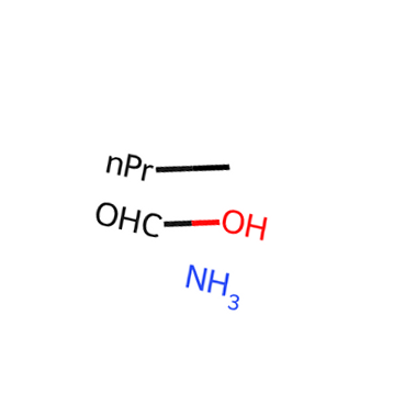 CCCC.N.O=CO